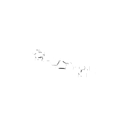 N=C(N)SCCc1ccc(CCSc2ncn[nH]2)cc1